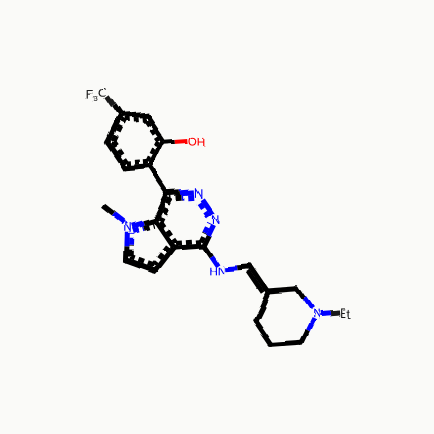 CCN1CCC/C(=C\Nc2nnc(-c3ccc(C(F)(F)F)cc3O)c3c2ccn3C)C1